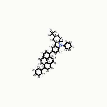 CC(C)(C)C1CCC2(C)C(C1)c1cc(-c3ccc4ccc5c(-c6ccccc6)ccc6ccc3c4c65)ccc1N2c1ccccc1